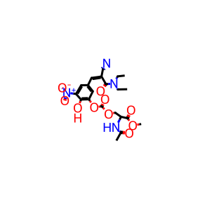 CCN(CC)C(=O)C(C#N)=Cc1cc(OC(=O)OCC(NC(C)=O)C(=O)OC)c(O)c([N+](=O)[O-])c1